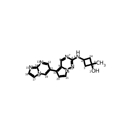 CC1(O)CC(Nc2ncc3c(-c4cnc5nccn5c4)ccn3n2)C1